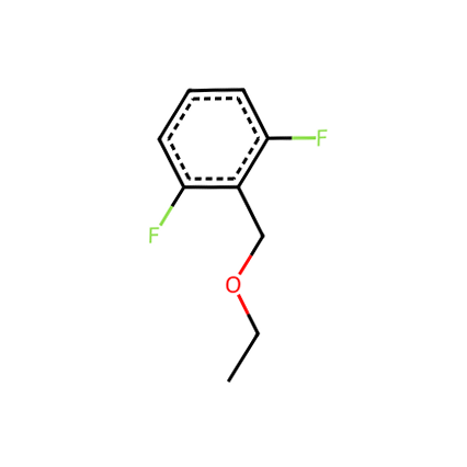 CCOCc1c(F)cccc1F